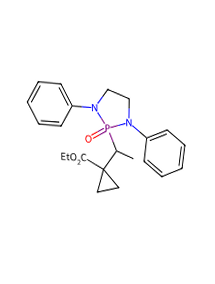 CCOC(=O)C1(C(C)P2(=O)N(c3ccccc3)CCN2c2ccccc2)CC1